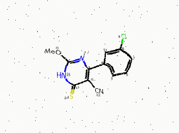 COc1nc(-c2cccc(Cl)c2)c(C#N)c(=S)[nH]1